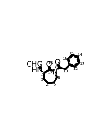 O=CN[C@H]1CCCCN(C(=O)Cc2ccccc2)C1=O